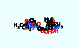 C=CC[C@@H]1CN([C@H](O)c2cc3cc(NC(=O)c4cc5cccc(NC(=O)[C@@H](N)CC(C)C)c5o4)ccc3o2)C2C=C(O)c3[nH]c(C)c(C(=O)OC)c3[C@H]21